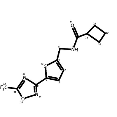 O=C(NCc1ccc(-c2noc(C(F)(F)F)n2)s1)C1CCC1